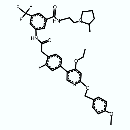 CCOc1cc(OCc2ccc(OC)cc2)ncc1-c1ccc(CC(=O)Nc2cc(C(=O)NCCN3CCCC3C)cc(C(F)(F)F)c2)c(F)c1